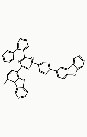 CC1C=CC(c2nc(-c3ccc(-c4ccc5sc6ccccc6c5c4)cc3)nc(-c3ccccc3-c3ccccc3)n2)=C2Sc3ccccc3C21